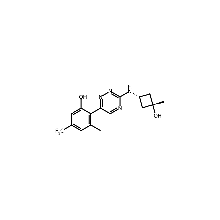 Cc1cc(C(F)(F)F)cc(O)c1-c1cnc(N[C@H]2C[C@@](C)(O)C2)nn1